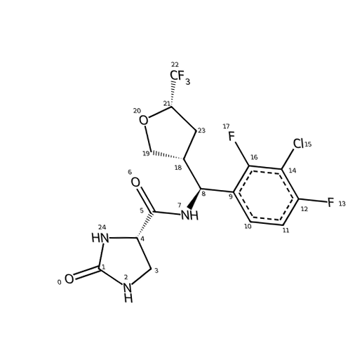 O=C1NC[C@@H](C(=O)N[C@H](c2ccc(F)c(Cl)c2F)[C@@H]2CO[C@H](C(F)(F)F)C2)N1